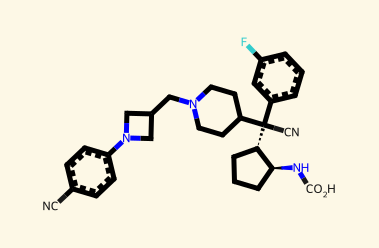 N#Cc1ccc(N2CC(CN3CCC(C(C#N)(c4cccc(F)c4)[C@H]4CCC[C@@H]4NC(=O)O)CC3)C2)cc1